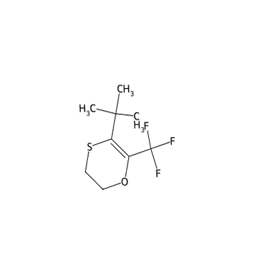 CC(C)(C)C1=C(C(F)(F)F)OCCS1